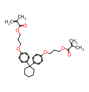 C=C(C)C(=O)OCCCOc1ccc(C2(c3ccc(OCCCOC(=O)C(=C)C)cc3)CCCCC2)cc1